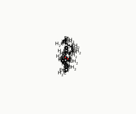 C=C(CCCCCN1C(=C)CC2C(C)(CC)C21C)NCC(=C)NCC(=C)NC(Cc1ccccc1)C(=C)NCC(=C)NCCC1(C(=C)NC2CCc3c(C)c(F)cc4nc5c(c2c34)CN2C(=C)C3=C(C=C52)C(CC)C(=C)CC3)CC1